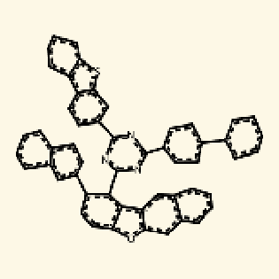 c1ccc(-c2ccc(-c3nc(-c4ccc5c(c4)sc4ccccc45)nc(-c4c(-c5ccc6ccccc6c5)ccc5oc6cc7ccccc7cc6c45)n3)cc2)cc1